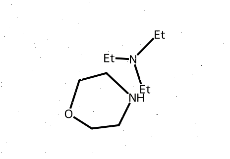 C1COCCN1.CCN(CC)CC